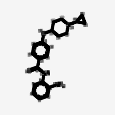 Nc1ccccc1NC(=O)c1ccc(OC2CCN(C3CC3)CC2)cc1